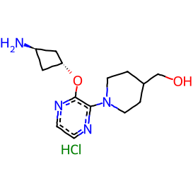 Cl.N[C@H]1C[C@H](Oc2nccnc2N2CCC(CO)CC2)C1